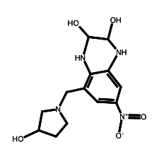 O=[N+]([O-])c1cc(CN2CCC(O)C2)c2c(c1)NC(O)C(O)N2